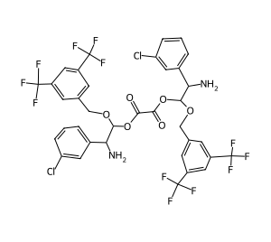 NC(c1cccc(Cl)c1)C(OCc1cc(C(F)(F)F)cc(C(F)(F)F)c1)OC(=O)C(=O)OC(OCc1cc(C(F)(F)F)cc(C(F)(F)F)c1)C(N)c1cccc(Cl)c1